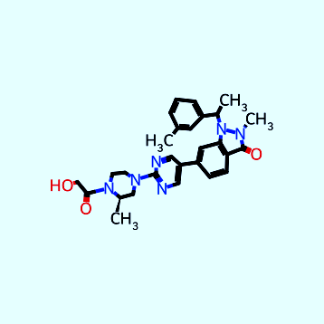 Cc1cccc(C(C)n2c3cc(-c4cnc(N5CCN(C(=O)CO)[C@H](C)C5)nc4)ccc3c(=O)n2C)c1